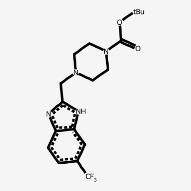 CC(C)(C)OC(=O)N1CCN(Cc2nc3ccc(C(F)(F)F)cc3[nH]2)CC1